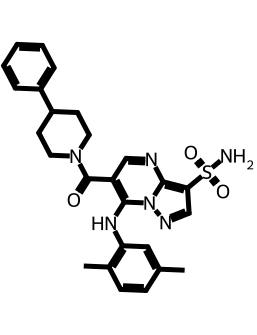 Cc1ccc(C)c(Nc2c(C(=O)N3CCC(c4ccccc4)CC3)cnc3c(S(N)(=O)=O)cnn23)c1